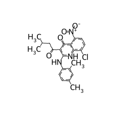 Cc1ccc(Nc2[nH]c3c(Cl)ccc([N+](=O)[O-])c3c(=O)c2C(=O)CC(C)C)c(C)c1